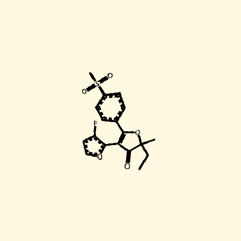 CCC1(C)OC(c2ccc(S(C)(=O)=O)cc2)=C(c2occc2F)C1=O